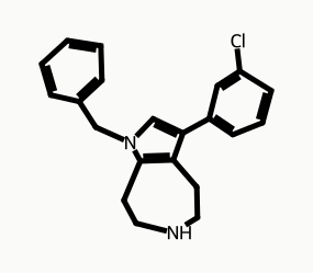 Clc1cccc(-c2cn(Cc3ccccc3)c3c2CCNCC3)c1